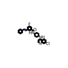 O=C(NC1CCC(Nc2ccnc3cc(Cl)ccc23)CC1)c1cc(F)cc(/C=C/c2ccccc2)c1